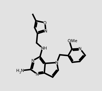 COc1ncccc1Cn1ccc2nc(N)nc(NCc3cc(C)on3)c21